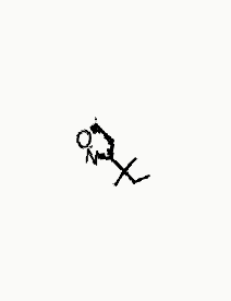 CCC(C)(C)c1c[c]on1